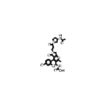 CC(=O)N[C@H]1CCN(C(=O)CCN2Cc3nc(C)c(CNC(=O)O)c(-c4ccc(Cl)cc4Cl)c3C2=O)C1